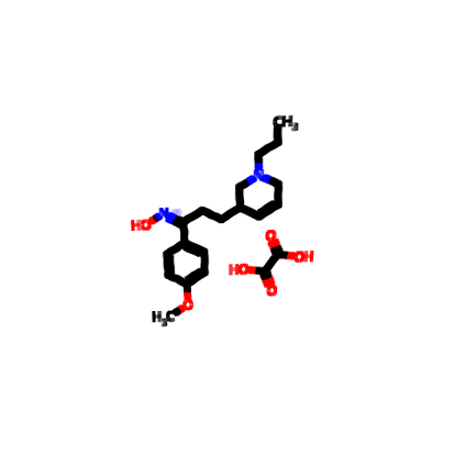 CCCN1CC=CC(CC/C(=N/O)c2ccc(OC)cc2)C1.O=C(O)C(=O)O